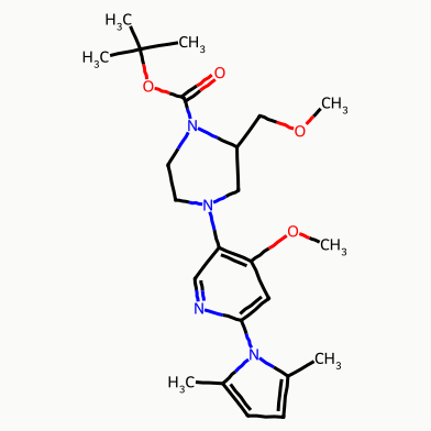 COCC1CN(c2cnc(-n3c(C)ccc3C)cc2OC)CCN1C(=O)OC(C)(C)C